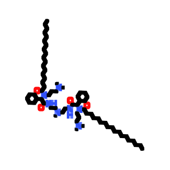 CCCCCCCCCCCCCCCCCC(=O)N(CCCN(C)C)C(C(=O)NCCN(C)CCNC(=O)C(C1CCCCC1)N(CCCN(C)C)C(=O)CCCCCCCCCCCCCCCCC)C1CCCCC1